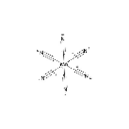 N#[C][Mn]([C]#N)([C]#N)([C]#N)([C]#N)[C]#N